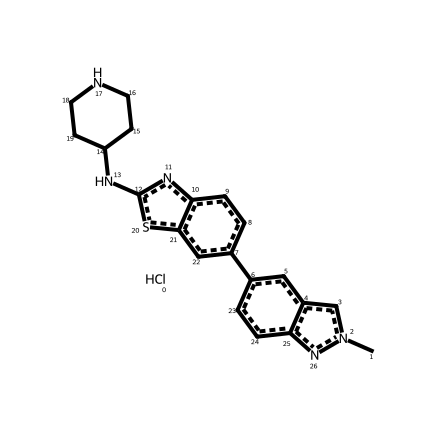 Cl.Cn1cc2cc(-c3ccc4nc(NC5CCNCC5)sc4c3)ccc2n1